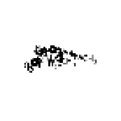 CCCOCCOCCN(Cc1ccc(-c2cc3nccc(Oc4ccc([N+](=O)[O-])cc4F)c3s2)cc1)C(=O)OC(C)(C)C